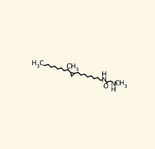 CCCCCCCCC(C)C1CC1CCCCCCCCNC(=O)CNC